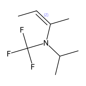 C/C=C(/C)N(C(C)C)C(F)(F)F